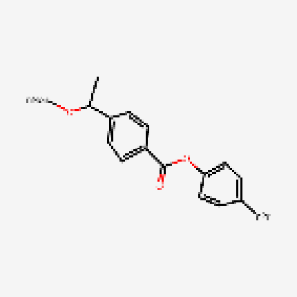 CCCCCCCCCOC(C)c1ccc(C(=O)Oc2ccc(CCC)cc2)cc1